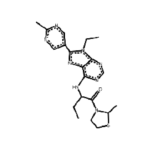 CCC(Nc1ncnc2c1nc(-c1cnc(C)nc1)n2CC)C(=O)N1CCSC1C